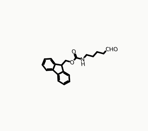 O=CCCCCNC(=O)OCC1c2ccccc2-c2ccccc21